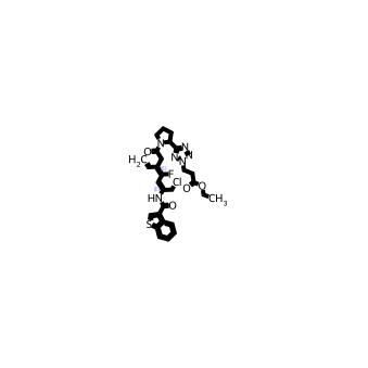 C=C/C(CC(=O)N1CCCC1c1nnn(CCC(=O)OCC)n1)=C(F)\C=C(/CCl)NC(=O)c1csc2ccccc12